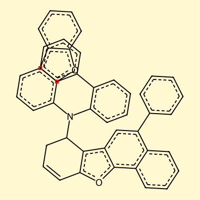 C1=Cc2oc3c(cc(-c4ccccc4)c4ccccc43)c2C(N(c2ccccc2-c2ccccc2)c2cccc3c2oc2ccccc23)C1